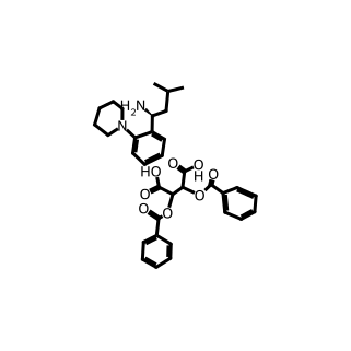 CC(C)C[C@H](N)c1ccccc1N1CCCCC1.O=C(OC(C(=O)O)C(OC(=O)c1ccccc1)C(=O)O)c1ccccc1